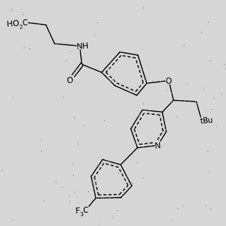 CC(C)(C)CC(Oc1ccc(C(=O)NCCC(=O)O)cc1)c1ccc(-c2ccc(C(F)(F)F)cc2)nc1